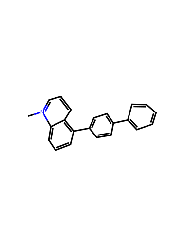 C[n+]1cccc2c(-c3ccc(-c4ccccc4)cc3)cccc21